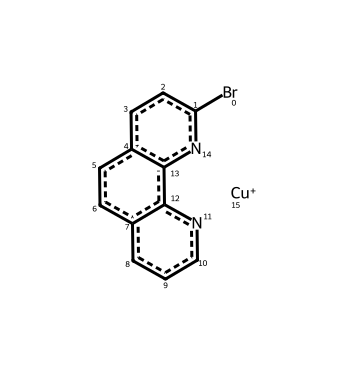 Brc1ccc2ccc3cccnc3c2n1.[Cu+]